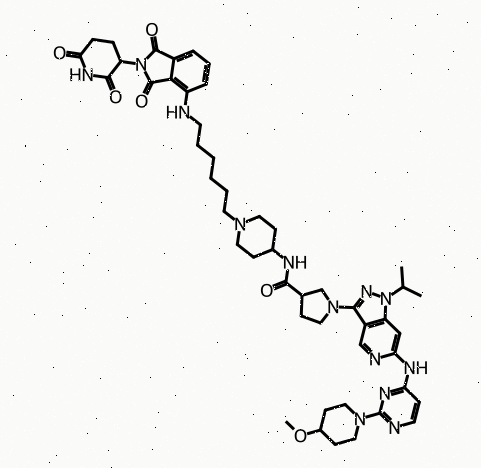 COC1CCN(c2nccc(Nc3cc4c(cn3)c(N3CCC(C(=O)NC5CCN(CCCCCCNc6cccc7c6C(=O)N(C6CCC(=O)NC6=O)C7=O)CC5)C3)nn4C(C)C)n2)CC1